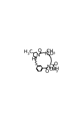 C[C@@H]1C[C@H]2CSc3cccc(c3)C(=O)N(C)[C@H](C(=O)O)CCC(=O)N(C)CC(=O)N2C1